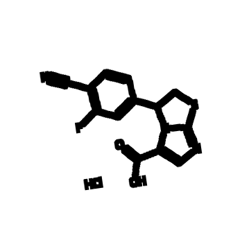 Cl.N#Cc1ccc(C2CSc3ncc(C(=O)O)n32)cc1F